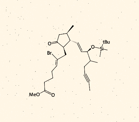 CC#CCC(C)[C@@H](/C=C/[C@H]1[C@H](C)CC(=O)[C@@H]1C/C(Br)=C/CCCC(=O)OC)O[Si](C)(C)C(C)(C)C